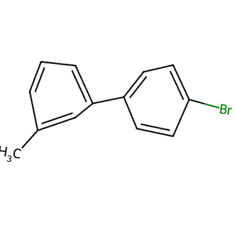 Cc1cccc(-c2ccc(Br)cc2)c1